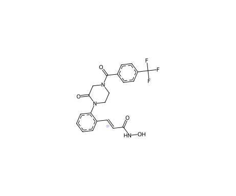 O=C(/C=C/c1ccccc1N1CCN(C(=O)c2ccc(C(F)(F)F)cc2)CC1=O)NO